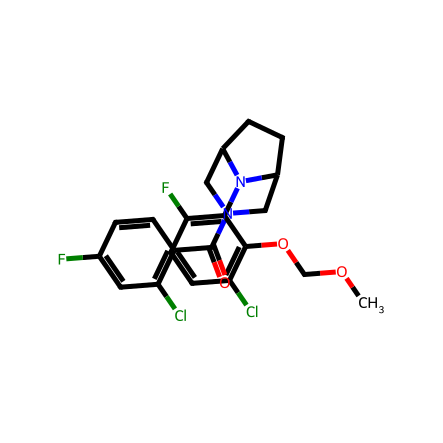 COCOc1c(Cl)ccc(F)c1N1C2CCC1CN(C(=O)c1ccc(F)cc1Cl)C2